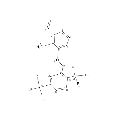 Cc1c(C=O)cccc1OCc1cc(C(F)(F)F)ccc1C(F)(F)F